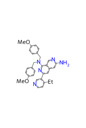 CCc1ccncc1-c1cc2cc(N)ncc2c(N(Cc2ccc(OC)cc2)Cc2ccc(OC)cc2)n1